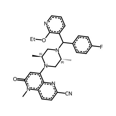 CCOc1ncccc1C(c1ccc(F)cc1)N1C[C@H](C)N(c2cc(=O)n(C)c3ccc(C#N)nc23)C[C@H]1C